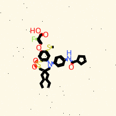 CCCCC1(CCCC)CN(c2ccc(NC(=O)C3CCCC3)cc2)c2cc(SC)c(O/C=C(\F)C(=O)O)cc2S(=O)(=O)C1